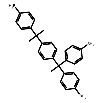 Bc1ccc(C(C)(C)c2ccc(C(C)(c3ccc(B)cc3)c3ccc(B)cc3)cc2)cc1